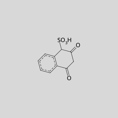 O=C1CC(=O)C(S(=O)(=O)O)c2ccccc21